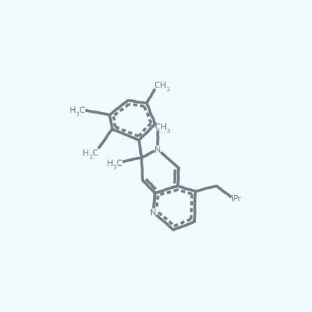 Cc1cc(C)c(C)c(C2(C)C=c3nccc(CC(C)C)c3=CN2C)c1